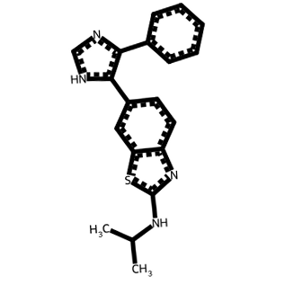 CC(C)Nc1nc2ccc(-c3[nH]cnc3-c3ccccc3)cc2s1